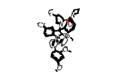 COc1ccc(S(=O)(=O)N2C(=O)C(c3ccccc3OC)(N3CC(F)C[C@H]3C(=O)N3CCC3)c3cc(Cl)ccc32)c(OC)c1